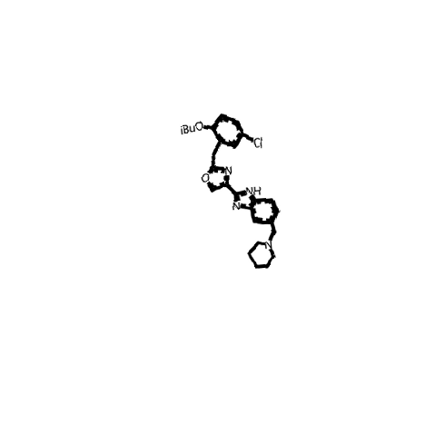 CC(C)COc1ccc(Cl)cc1Cc1nc(-c2nc3cc(CN4CCCCC4)ccc3[nH]2)co1